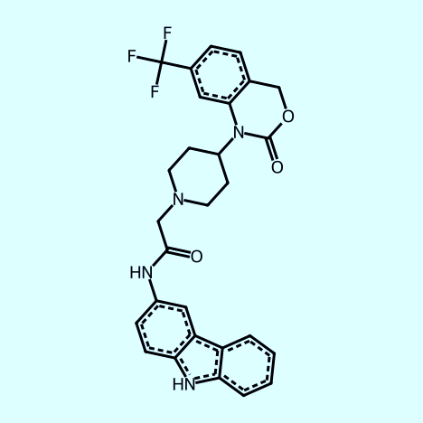 O=C(CN1CCC(N2C(=O)OCc3ccc(C(F)(F)F)cc32)CC1)Nc1ccc2[nH]c3ccccc3c2c1